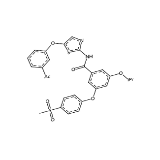 CC(=O)c1cccc(Oc2cnc(NC(=O)c3cc(Oc4ccc(S(C)(=O)=O)cc4)cc(OC(C)C)c3)s2)c1